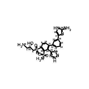 NC[C@H](O)CS(=O)(=O)c1ccc(-c2cccc(-c3c[nH]c(N)n3)c2)c(-c2nn[nH]n2)c1S(N)(=O)=O